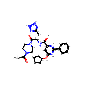 COC(=O)N1CCN(C(=O)[C@H](Cc2nnn[nH]2)NC(=O)c2cc(OC3CCCC3)nc(-c3ccccc3)n2)CC1